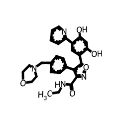 CCNC(=O)c1noc(-c2cc(-c3ccccn3)c(O)cc2O)c1-c1ccc(CN2CCOCC2)cc1